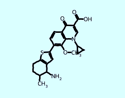 COc1c(-c2cc3c(s2)CCC(C)C3N)ccc2c(=O)c(C(=O)O)cn(C3CC3)c12